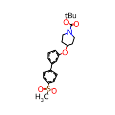 CC(C)(C)OC(=O)N1CCC(Oc2cccc(-c3ccc(S(C)(=O)=O)cc3)c2)CC1